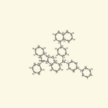 c1ccc(-c2ccc(N(c3ccc(-c4cccc5ccccc45)cc3)c3cccc4c3sc3c5ccccc5n(-c5ccccc5)c43)cc2)cc1